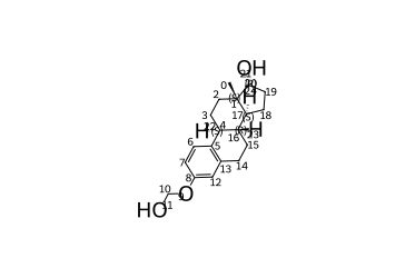 C[C@]12CC[C@@H]3c4ccc(OCO)cc4CC[C@H]3[C@@H]1CC[C@H]2O